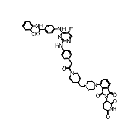 O=C1CCC(N2C(=O)c3cccc(N4CCN(CC5CCN(C(=O)Cc6ccc(Nc7ncc(F)c(Nc8ccc(C(=O)Nc9ccccc9Cl)cc8)n7)cc6)CC5)CC4)c3C2=O)C(=O)N1